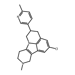 Cc1ccc(C2Cc3cc(Cl)cc4c5c(n(c34)C2)CCN(C)C5)cn1